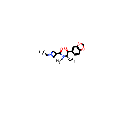 CCN1CC(C(=O)N(C)[C@H](C)C(=O)c2ccc3c(c2)OCO3)C1